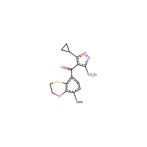 CCOC(=O)c1noc(C2CC2)c1C(=O)c1ccc(SC)c2c1SCCO2